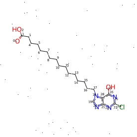 O=C(O)CCCCCCCCCCCCCCCn1cnc2nc(Cl)nc(O)c21